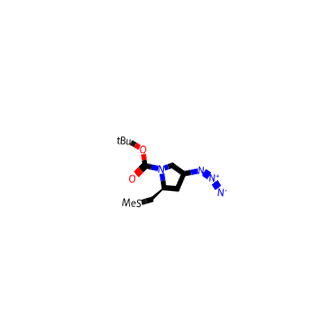 CSC[C@@H]1CC(N=[N+]=[N-])CN1C(=O)OC(C)(C)C